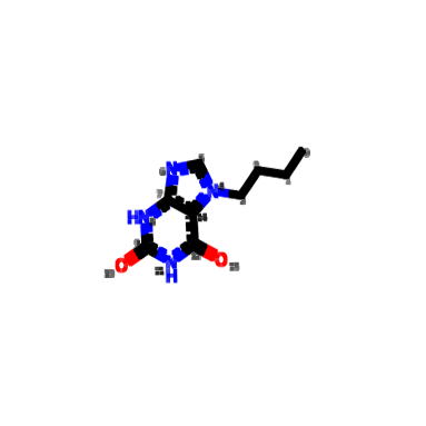 CCCCn1cnc2[nH]c(=O)[nH]c(=O)c21